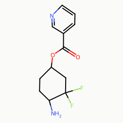 NC1CCC(OC(=O)c2cccnc2)CC1(F)F